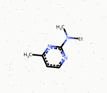 CCN(C)c1nccc(C)n1